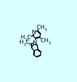 Cc1cc(C)c(N2C3CC(c4ccccc43)[C@@H]2C)c(C)n1